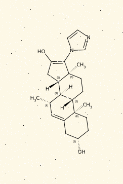 C[C@H]1C=C2C[C@@H](O)CC[C@]2(C)[C@H]2CC[C@]3(C)C(n4ccnc4)=C(O)C[C@H]3[C@H]12